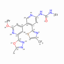 CCNC(=O)Nc1cc(-c2nc(C(F)(F)F)cs2)c(-c2cc(OC(C)C)nc(-c3nnc(C)o3)c2)cn1